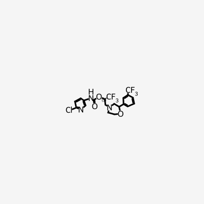 O=C(Nc1ccc(Cl)nc1)O[C@@H](CN1CCOC(c2cccc(C(F)(F)F)c2)C1)C(F)(F)F